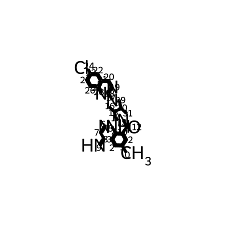 Cc1ccc(N/N=C\C=N)c(C(=O)N2CC3CN(c4ncc5cc(Cl)ccc5n4)CC3C2)c1